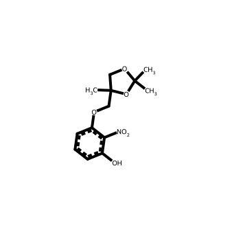 CC1(COc2cccc(O)c2[N+](=O)[O-])COC(C)(C)O1